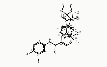 O=C(Nc1ccc(F)c(F)c1)c1ccc(Cl)c(S(=O)(=O)[C@@H]2CC3CC[C@@H](C2)[C@@]3(O)C(O)c2cccc(C(F)(F)F)n2)c1